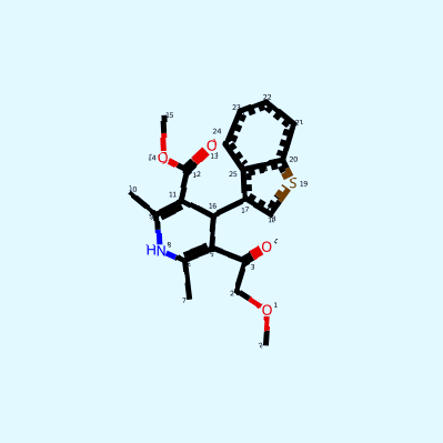 COCC(=O)C1=C(C)NC(C)=C(C(=O)OC)C1c1csc2ccccc12